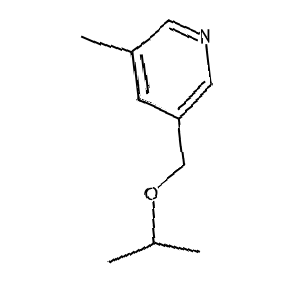 Cc1cncc(COC(C)C)c1